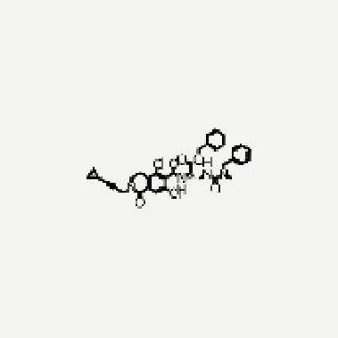 CN(Cc1ccccc1)C(=O)NC[C@H](NC(=O)c1c(Cl)cc2c(c1Cl)CCN(CC#CC1CC1)C2=O)C(=O)OCc1ccccc1